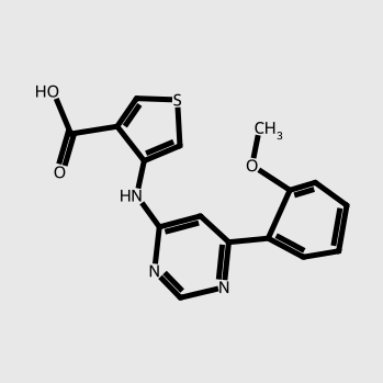 COc1ccccc1-c1cc(Nc2cscc2C(=O)O)ncn1